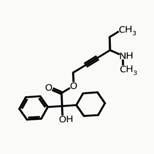 CCC(C#CCOC(=O)C(O)(c1ccccc1)C1CCCCC1)NC